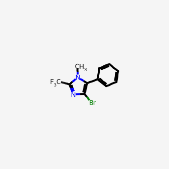 Cn1c(C(F)(F)F)nc(Br)c1-c1ccccc1